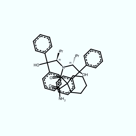 CC(C)[C@@H](N(C(=O)C1(C(N)=O)CCCCC1)[C@H](C(C)C)C(O)(c1ccccc1)c1ccccc1)C(O)(c1ccccc1)c1ccccc1